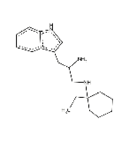 CCC1(NCC(N)Cc2c[nH]c3ccccc23)CCCCC1